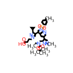 CCN(Cc1nn(C)cc1-c1cnc2c(c1)c(-c1cn(CCCC(=O)O)nc1C1CC1)cn2S(=O)(=O)c1ccc(C)cc1)C(=O)OC(C)(C)C